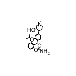 CC(C)Oc1cc(C2CCN(C)CC2O)ccc1C(OC(N)=O)c1ccccc1